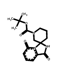 CC(C)(C)OC(=O)N1CCCC2(C1)NC(=O)c1cccc(=O)n12